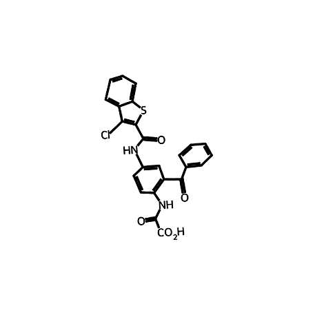 O=C(O)C(=O)Nc1ccc(NC(=O)c2sc3ccccc3c2Cl)cc1C(=O)c1ccccc1